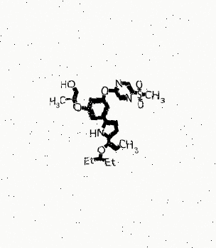 C/C=C(/OC(CC)CC)c1ccc(-c2cc(Oc3cnc(S(C)(=O)=O)cn3)cc(O[C@@H](C)CO)c2)[nH]1